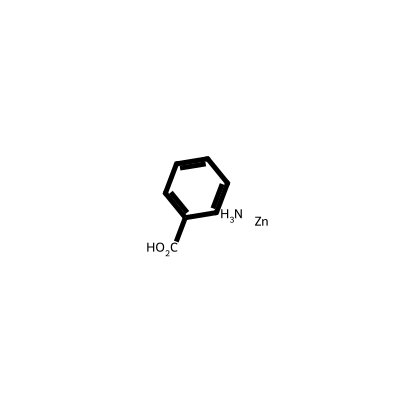 N.O=C(O)c1ccccc1.[Zn]